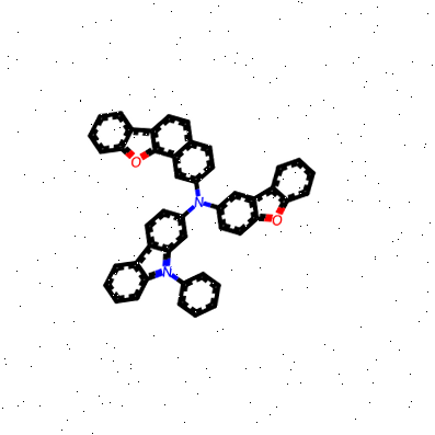 c1ccc(-n2c3ccccc3c3ccc(N(c4ccc5oc6ccccc6c5c4)c4ccc5ccc6c7ccccc7oc6c5c4)cc32)cc1